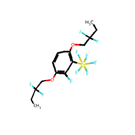 CCC(F)(F)COc1ccc(OCC(F)(F)CC)c(S(F)(F)(F)(F)F)c1F